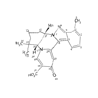 Cc1cccc2c3n(nc12)[C@H]1CCC(C)(C)[C@H]1n1cc(C(=O)O)c(=O)cc1-3